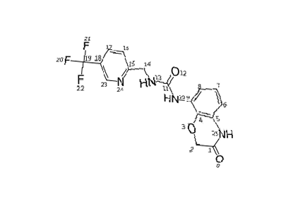 O=C1COc2c(cccc2NC(=O)NCc2ccc(C(F)(F)F)cn2)N1